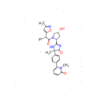 Cc1cc(C(C(=O)N2C[C@H](O)C[C@H]2C2=NC(=O)C(C)(c3ccc(-c4cccc(=O)n4C)cc3)N2)C(C)C)on1